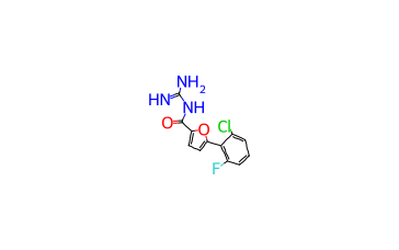 N=C(N)NC(=O)c1ccc(-c2c(F)cccc2Cl)o1